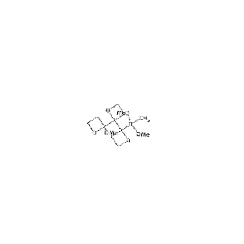 COC1(C2([C]3([Ti]([CH3])([O]C)[O]C)CCO3)CCO2)CCO1